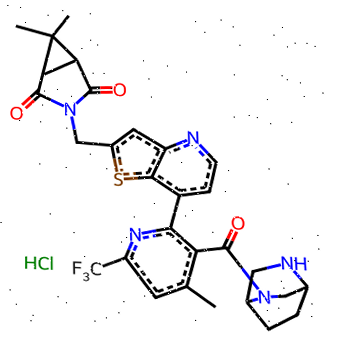 Cc1cc(C(F)(F)F)nc(-c2ccnc3cc(CN4C(=O)C5C(C4=O)C5(C)C)sc23)c1C(=O)N1CC2CCC1CN2.Cl